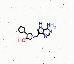 Nc1ncnc2c(CN3CC(O)C(C4CCCC4)C3)c[nH]c12